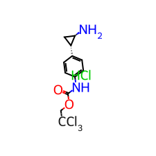 Cl.N[C@@H]1C[C@H]1c1ccc(NC(=O)OCC(Cl)(Cl)Cl)cc1